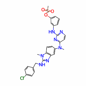 CN(c1ccc2c(c1)nc(NCc1ccc(Cl)cc1)n2C)c1ccnc(Nc2cccc(OS(C)(=O)=O)c2)n1